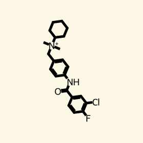 C[N+](C)(Cc1ccc(NC(=O)c2ccc(F)c(Cl)c2)cc1)C1CCCCC1